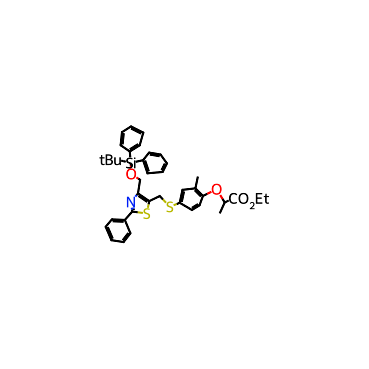 CCOC(=O)C(C)Oc1ccc(SCc2sc(-c3ccccc3)nc2CO[Si](c2ccccc2)(c2ccccc2)C(C)(C)C)cc1C